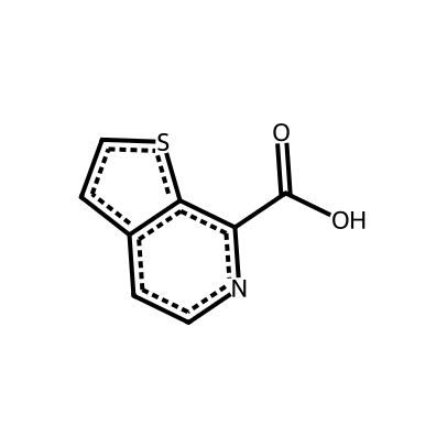 O=C(O)c1nccc2ccsc12